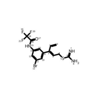 C=C/C(=C\CSC(=N)N)c1cc(Br)cc(NC(=O)C(F)(F)F)c1